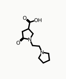 O=C(O)C1CC(=O)N(CCN2CCCC2)C1